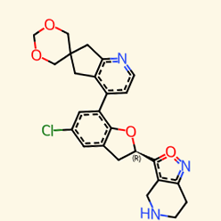 Clc1cc2c(c(-c3ccnc4c3CC3(COCOC3)C4)c1)O[C@@H](c1onc3c1CNCC3)C2